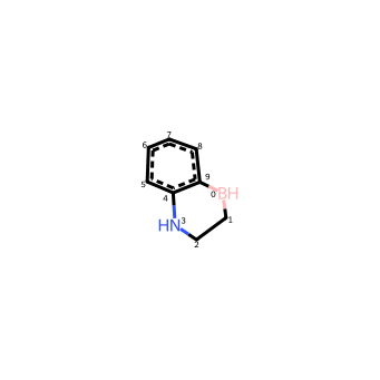 B1CCNc2ccccc21